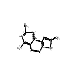 Cc1cc2c(ccc3c(N)nc(N)nc32)[nH]1